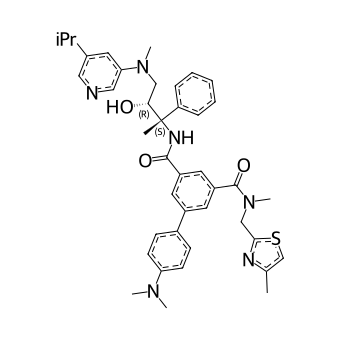 Cc1csc(CN(C)C(=O)c2cc(C(=O)N[C@@](C)(c3ccccc3)[C@H](O)CN(C)c3cncc(C(C)C)c3)cc(-c3ccc(N(C)C)cc3)c2)n1